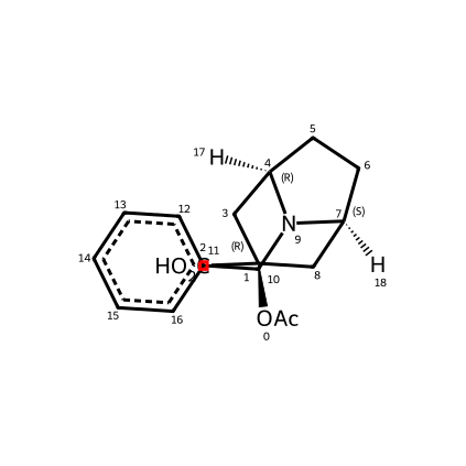 CC(=O)O[C@@]1(C(=O)O)C[C@H]2CC[C@@H](C1)N2Cc1ccccc1